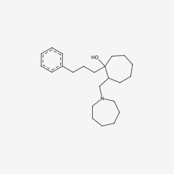 OC1(CCCc2ccccc2)CCCCCC1CN1CCCCCC1